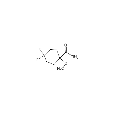 COC1(C(N)=O)CCC(F)(F)CC1